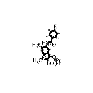 CCOC(=O)c1c(OC(C)C)c2cc(NC(=O)c3ccc(F)cc3)c(C)nc2n1C